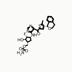 Cc1sc(C(=O)c2cncnc2N[C@@H]2C[C@H](COS(N)(=O)=O)[C@@H](O)[C@@H]2F)cc1[C@H]1OCCc2ccccc21